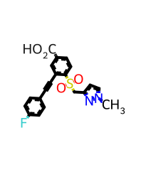 Cn1ccc(CS(=O)(=O)c2ccc(C(=O)O)cc2C#Cc2ccc(F)cc2)n1